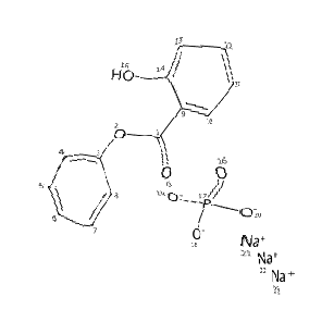 O=C(Oc1ccccc1)c1ccccc1O.O=P([O-])([O-])[O-].[Na+].[Na+].[Na+]